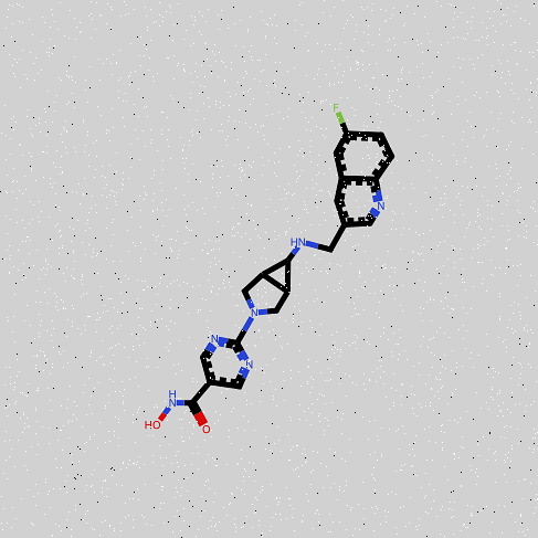 O=C(NO)c1cnc(N2CC3C(C2)C3NCc2cnc3ccc(F)cc3c2)nc1